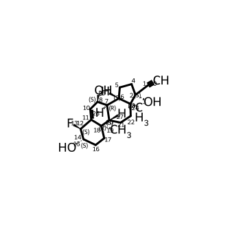 C#C[C@]1(O)CC[C@H]2[C@@H]3[C@H](O)C=C4[C@H](F)[C@@H](O)CC[C@]4(C)[C@H]3CC[C@@]21C